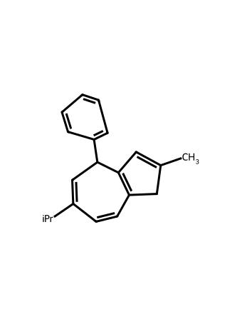 CC1=CC2=C(C=CC(C(C)C)=CC2c2ccccc2)C1